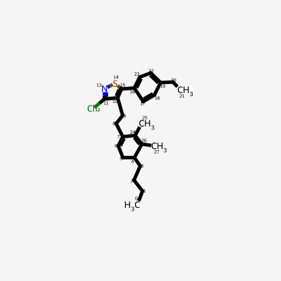 CCCCC1CC=C(CCc2c(Cl)nsc2-c2ccc(CC)cc2)C(C)=C1C